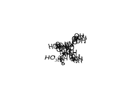 C[C@@H]1O[C@@H](OCCNC(=O)CN(CC(=O)NCCO[C@@H]2O[C@@H](C)[C@@H](O)[C@@H](O)[C@@H]2O)[C@@H](CCCCNC(=O)CC[C@H](NC(=O)OCc2ccccc2)C(=O)O)C(=O)NCCO[C@@H]2O[C@@H](C)[C@@H](O)[C@@H](O)[C@@H]2O)[C@@H](O)[C@H](O)[C@@H]1O